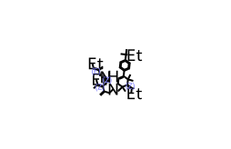 C=C(CNCC1(C)CC=C(c2ccc(C(C)(C)CC)cc2)C(C)(C)/C1=C/CC)C(/C=N\C/C(C)=C/CC)=C(\C)CC